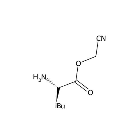 CC[C@H](C)[C@H](N)C(=O)OCC#N